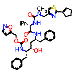 CC(C)[C@H](NC(=O)N(C)Cc1csc(C2=CCCC2)n1)C(=O)N[C@@H](Cc1ccccc1)C[C@H](O)[C@H](Cc1ccccc1)NC(=O)OCc1ccno1